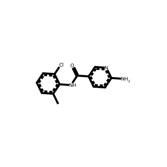 Cc1cccc(Cl)c1NC(=O)c1ccc(N)nc1